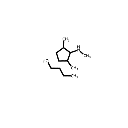 CCCCO.CNC1C(C)CCC1C